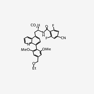 CCOCc1cc(OC)c(-c2ccc(C[C@H](NC(=O)c3c(F)cc(C#N)cc3F)C(=O)O)c3cccnc23)c(OC)c1